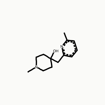 Cc1cccc(CC2(O)CCN(C)CC2)n1